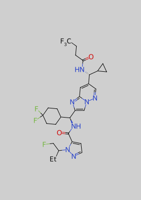 CCC(CF)n1nccc1C(=O)N[C@H](c1cn2ncc([C@H](NC(=O)CCC(F)(F)F)C3CC3)cc2n1)C1CCC(F)(F)CC1